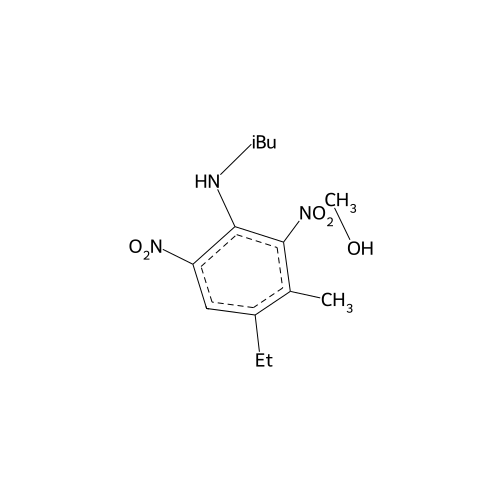 CCc1cc([N+](=O)[O-])c(NC(C)CC)c([N+](=O)[O-])c1C.CO